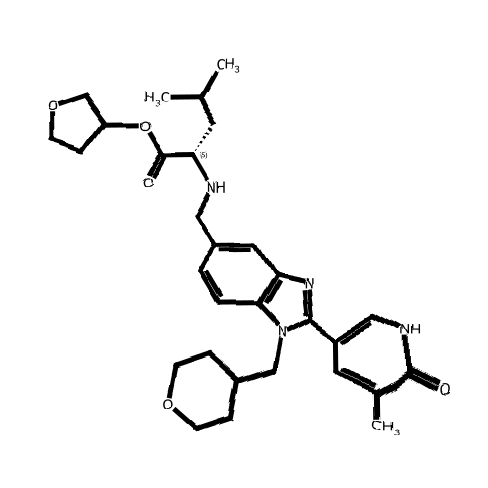 Cc1cc(-c2nc3cc(CN[C@@H](CC(C)C)C(=O)OC4CCOC4)ccc3n2CC2CCOCC2)c[nH]c1=O